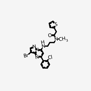 CN(CCCNc1cc(-c2ccccc2Cl)nc2c(Br)cnn12)C(=O)Cc1cccs1